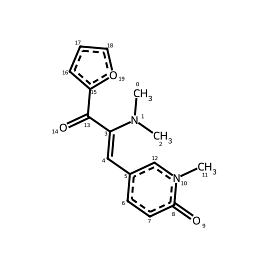 CN(C)C(=Cc1ccc(=O)n(C)c1)C(=O)c1ccco1